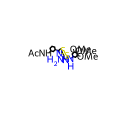 COc1cc(Nc2nc(N)c(-c3nc(-c4cccc(NC(C)=O)c4)cs3)s2)cc(OC)c1OC